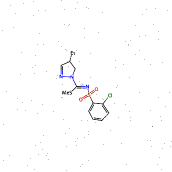 CCC1C=NN(/C(=N/S(=O)(=O)c2ccccc2Cl)SC)C1